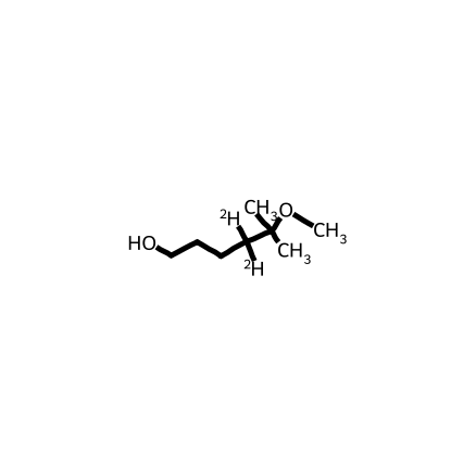 [2H]C([2H])(CCCO)C(C)(C)OC